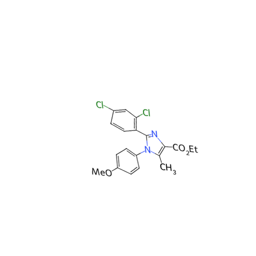 CCOC(=O)c1nc(-c2ccc(Cl)cc2Cl)n(-c2ccc(OC)cc2)c1C